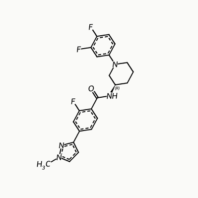 Cn1ccc(-c2ccc(C(=O)N[C@@H]3CCCN(c4ccc(F)c(F)c4)C3)c(F)c2)n1